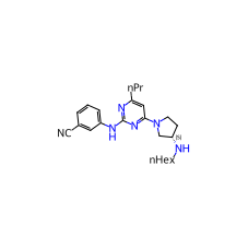 CCCCCCN[C@H]1CCN(c2cc(CCC)nc(Nc3cccc(C#N)c3)n2)C1